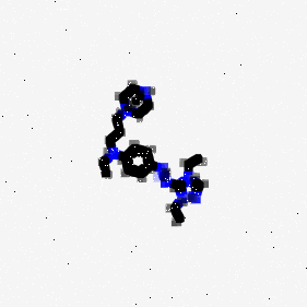 CCN(CCC[N+]12CCN(CC1)CC2)c1ccc(/N=N/c2n(CC)cn[n+]2CC)cc1